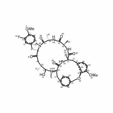 COc1ccc(C[C@H]2C(=O)C[C@@H](C)C(O)N(C)[C@H]3Cc4ccc(cc4)Oc4cc(ccc4OC)C[C@H](NC3=O)C(=O)N[C@H](C)C(=O)N[C@@H](C)C(=O)N2C)cc1F